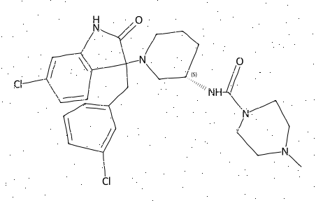 CN1CCN(C(=O)N[C@H]2CCCN(C3(Cc4cccc(Cl)c4)C(=O)Nc4cc(Cl)ccc43)C2)CC1